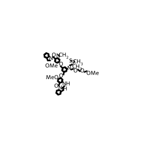 C=Nc1cc(OCc2cc(COc3cc4c(cc3OC)C(=O)N3c5ccccc5C[C@H]3CN4)cc(N(CCOCCOCCOC)C[C@H](C)S(C)=S)c2)c(OC)cc1C(=O)N1CCc2ccccc21